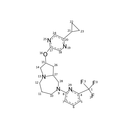 FC(F)(F)c1cccc(N2CCCN3CC(Oc4cnc(C5CC5)cn4)CC3C2)n1